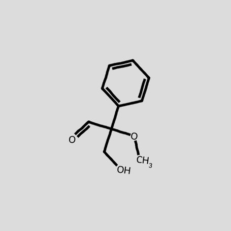 COC(C=O)(CO)c1ccccc1